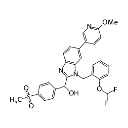 COc1ccc(-c2ccc3nc(C(O)c4ccc(S(C)(=O)=O)cc4)n(Cc4ccccc4OC(F)F)c3c2)cn1